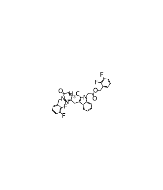 Cc1c(Cc2ccc(=O)n(Cc3cccc(F)c3F)n2)c2ccccc2n1CC(=O)OCc1cccc(F)c1F